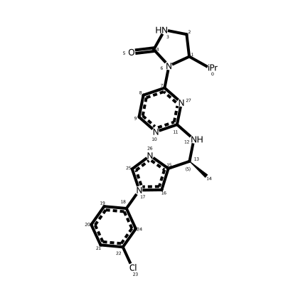 CC(C)C1CNC(=O)N1c1ccnc(N[C@@H](C)c2cn(-c3cccc(Cl)c3)cn2)n1